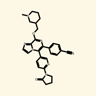 CN1CCCC(COc2nc(-c3ccc(C#N)cc3)c(-c3ccc(N4CCCC4=O)nc3)n3ccnc23)C1